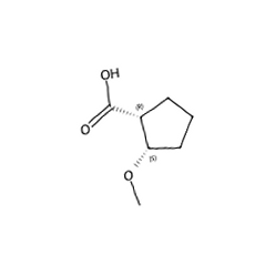 CO[C@H]1CCC[C@H]1C(=O)O